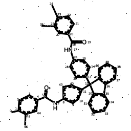 Cc1ccc(C(=O)Nc2ccc(C3(c4ccc(NC(=O)c5ccc(C)c(C)c5)cc4)c4ccccc4-c4ccccc43)cc2)cc1C